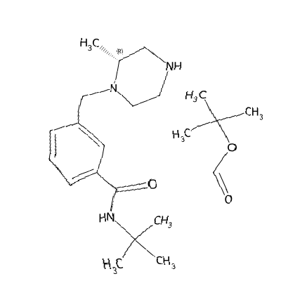 CC(C)(C)OC=O.C[C@@H]1CNCCN1Cc1cccc(C(=O)NC(C)(C)C)c1